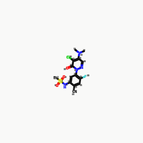 CCS(=O)(=O)Nc1cc(-n2ncc(N(C)C)c(Cl)c2=O)c(F)cc1C#N